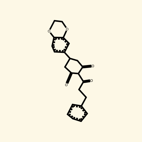 O=C(CCc1ccccc1)C1C(=O)CC(c2ccc3c(c2)OCCO3)CC1=O